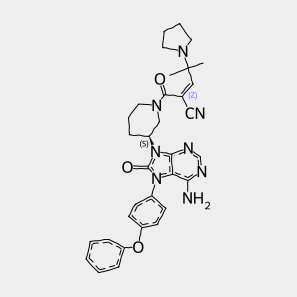 CC(C)(/C=C(/C#N)C(=O)N1CCC[C@H](n2c(=O)n(-c3ccc(Oc4ccccc4)cc3)c3c(N)ncnc32)C1)N1CCCC1